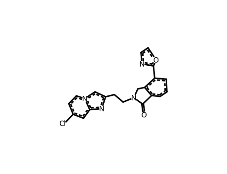 O=C1c2cccc(-c3ncco3)c2CN1CCc1cn2ccc(Cl)cc2n1